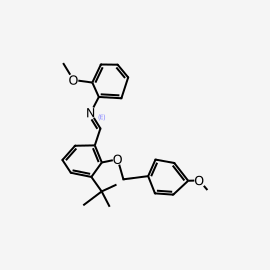 COc1ccc(COc2c(/C=N/c3ccccc3OC)cccc2C(C)(C)C)cc1